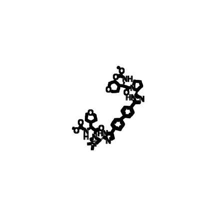 COC(=O)N[C@H](C(=O)N1CCC[C@H]1c1ncc(-c2ccc(-c3ccc(-c4cnc([C@@H]5C[Si](C)(C)CN5C(=O)[C@@H](NC(=O)OC)C5CCOCC5)[nH]4)cc3)cc2)[nH]1)C1CCOCC1